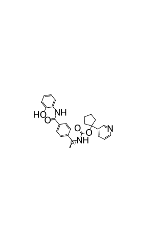 C[C@H](NC(=O)OC1(c2cccnc2)CCCC1)c1ccc(C(=O)Nc2ccccc2O)cc1